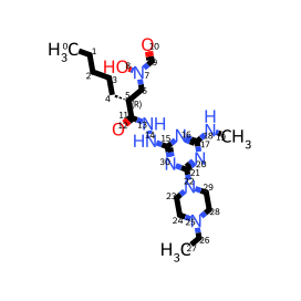 CCCCC[C@H](CN(O)C=O)C(=O)NNc1nc(NC)nc(N2CCN(CC)CC2)n1